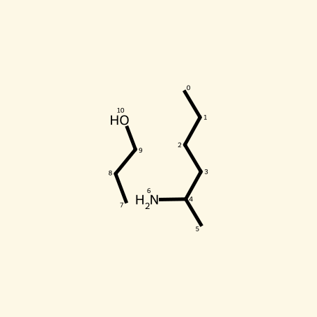 CCCCC(C)N.CCCO